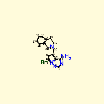 Nc1ncnn2c(Br)cc(CN3CCc4ccccc4C3)c12